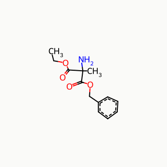 CCOC(=O)C(C)(N)C(=O)OCc1ccccc1